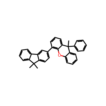 CC1(C)c2ccccc2-c2cc(-c3cccc4c3Oc3ccccc3C4(C)c3ccccc3)ccc21